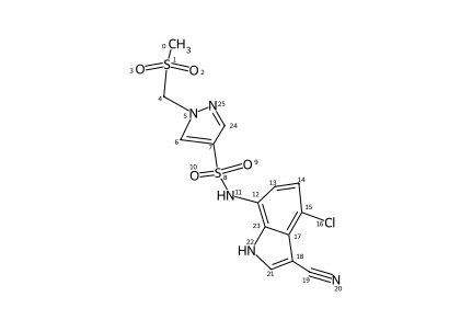 CS(=O)(=O)Cn1cc(S(=O)(=O)Nc2ccc(Cl)c3c(C#N)c[nH]c23)cn1